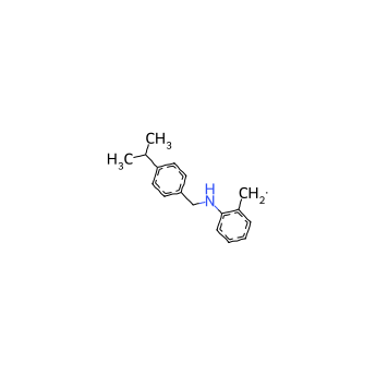 [CH2]c1ccccc1NCc1ccc(C(C)C)cc1